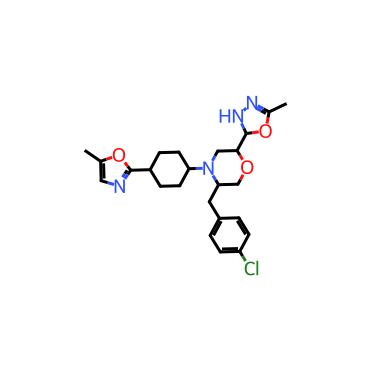 CC1=NNC(C2CN(C3CCC(c4ncc(C)o4)CC3)C(Cc3ccc(Cl)cc3)CO2)O1